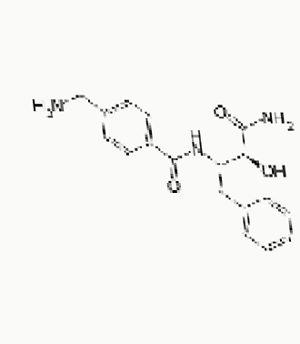 NCc1ccc(C(=O)NC(Cc2ccccc2)[C@H](O)C(N)=O)cc1